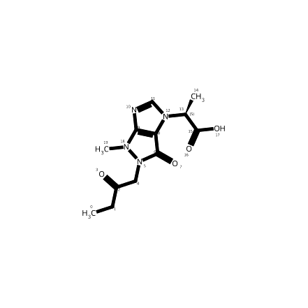 CCC(=O)Cn1c(=O)c2c(ncn2[C@@H](C)C(=O)O)n1C